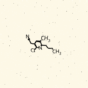 CCCCc1nc(Cl)c(CC#N)cc1C